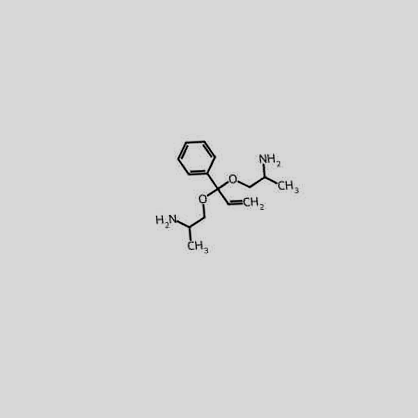 C=CC(OCC(C)N)(OCC(C)N)c1ccccc1